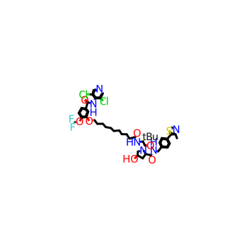 Cc1ncsc1-c1ccc(CNC(=O)C2CC(O)CN2C(=O)[C@@H](NC(=O)CCCCCCCCCCOc2cc(C(=O)Nc3c(Cl)cncc3Cl)ccc2OC(F)F)C(C)(C)C)cc1